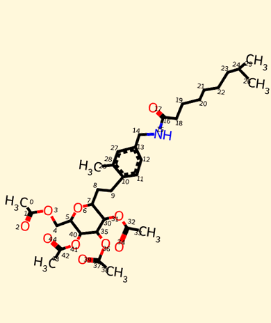 CC(=O)OCC1OC(CCc2ccc(CNC(=O)CCCCCCC(C)C)cc2C)C(OC(C)=O)C(OC(C)=O)C1OC(C)=O